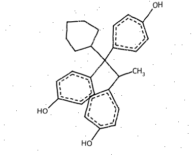 CC(c1ccc(O)cc1)C(c1ccc(O)cc1)(c1ccc(O)cc1)C1CCCCC1